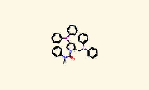 CCN(C(=O)N1C[C@@H](P(c2ccccc2)c2ccccc2)C[C@H]1CP(c1ccccc1)c1ccccc1)c1ccccc1